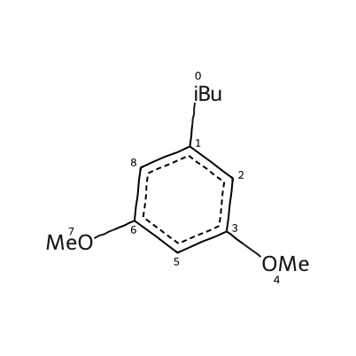 CCC(C)c1cc(OC)cc(OC)c1